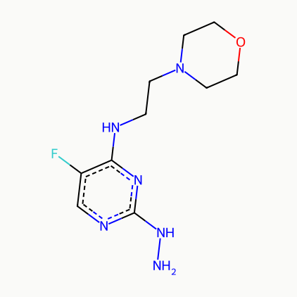 NNc1ncc(F)c(NCCN2CCOCC2)n1